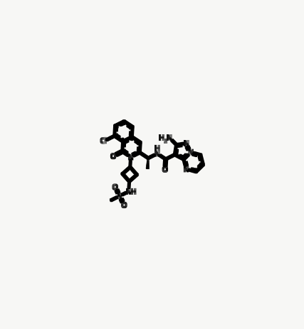 C[C@H](NC(=O)c1c(N)nn2cccnc12)c1cc2cccc(Cl)c2c(=O)n1C1CC(NS(C)(=O)=O)C1